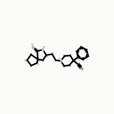 N#CC1(c2ccccc2)CCN(CCC2CC3(CCCC3)C(=O)O2)CC1